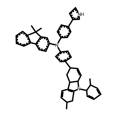 CC1C=CC2=C(C1)N(C1C=CC=CC1C)C1C=CC(c3ccc(N(c4ccc(-c5cc[nH]c5)cc4)c4ccc5c(c4)C(C)(C)c4ccccc4-5)cc3)CC21